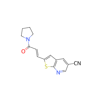 N#Cc1cnc2sc(C=CC(=O)N3CCCC3)cc2c1